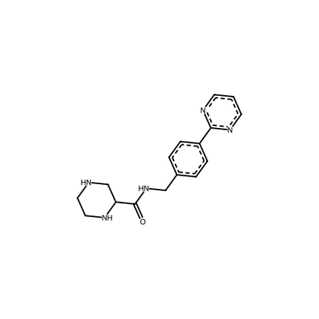 O=C(NCc1ccc(-c2ncccn2)cc1)C1CNCCN1